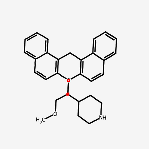 COCCOc1ccc2ccccc2c1Cc1c(OCC2CCNCC2)ccc2ccccc12